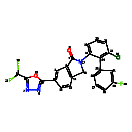 O=C1c2cc(-c3nnc(C(F)F)o3)ccc2CN1c1cccc(Cl)c1-c1cccc(F)c1